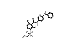 CCCS(=O)(=O)Nc1ccc(F)c(C(=O)Nc2ccc(Nc3ccccc3)nc2)c1F